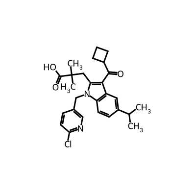 CC(C)c1ccc2c(c1)c(C(=O)C1CCC1)c(CC(C)(C)C(=O)O)n2Cc1ccc(Cl)nc1